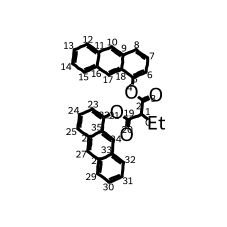 CCC(C(=O)Oc1cccc2cc3ccccc3cc12)C(=O)Oc1cccc2cc3ccccc3cc12